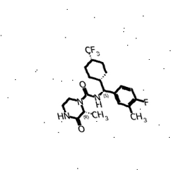 Cc1cc([C@@H](NC(=O)N2CCNC(=O)[C@H]2C)[C@H]2CC[C@@H](C(F)(F)F)CC2)ccc1F